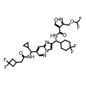 O=C(CC1CC(F)(F)C1)NC(c1cnn2cc([C@@H](NC(=O)c3conc3COC(F)F)C3CCC(F)(F)CC3)nc2c1)C1CC1